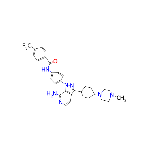 CN1CCN(C2CCC(c3nn(-c4ccc(NC(=O)c5ccc(C(F)(F)F)cc5)cc4)c4c(N)nccc34)CC2)CC1